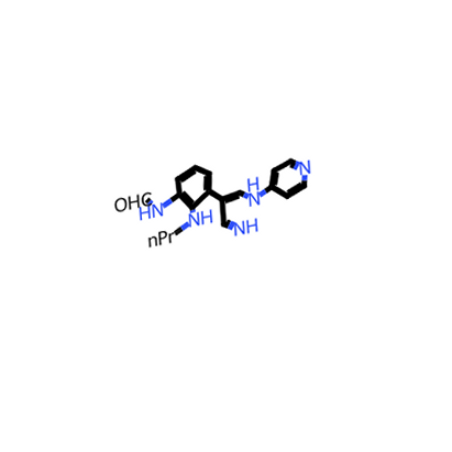 CCCNc1c(NC=O)cccc1/C(C=N)=C/Nc1ccncc1